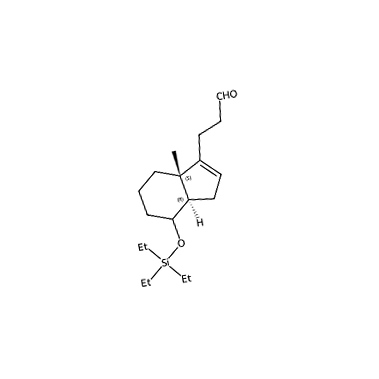 CC[Si](CC)(CC)OC1CCC[C@]2(C)C(CCC=O)=CC[C@@H]12